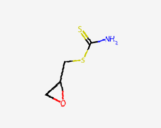 NC(=S)SCC1CO1